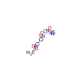 CCCS(=O)(=O)N1CC=C(c2ccc3nc(OC4CCN(C(=O)c5csnn5)CC4)sc3c2)CC1